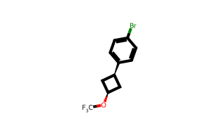 FC(F)(F)O[C@H]1C[C@@H](c2ccc(Br)cc2)C1